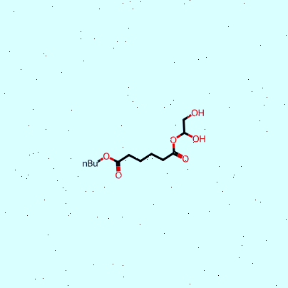 CCCCOC(=O)CCCCC(=O)OC(O)CO